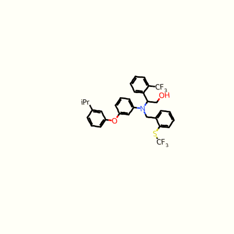 CC(C)c1cccc(Oc2cccc(N(Cc3ccccc3SC(F)(F)F)C(CO)c3ccccc3C(F)(F)F)c2)c1